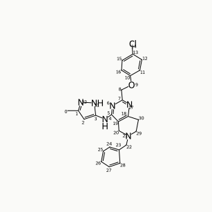 Cc1cc(Nc2nc(COc3ccc(Cl)cc3)nc3c2CN(Cc2ccccc2)CC3)[nH]n1